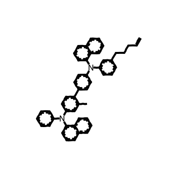 C=CCCCc1cccc(N(c2ccc(-c3ccc(N(c4ccccc4)c4cccc5ccccc45)cc3C)cc2)c2cccc3ccccc23)c1